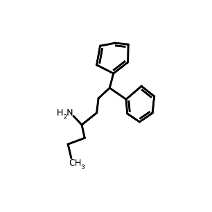 CCCC(N)CCC(c1ccccc1)c1ccccc1